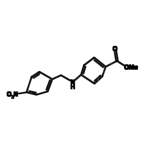 COC(=O)c1ccc(NCc2ccc([N+](=O)[O-])cc2)cc1